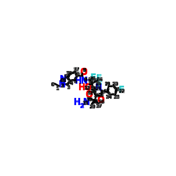 CCn1cc2cc(C(=O)NCC(O)(c3cc4c(c(-c5ccc(F)cc5)n3)OC[C@]4(C)C(N)=O)C(F)(F)F)ccc2n1